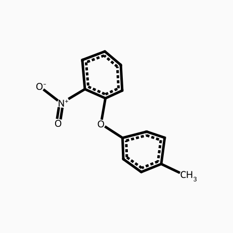 Cc1ccc(Oc2ccccc2[N+](=O)[O-])cc1